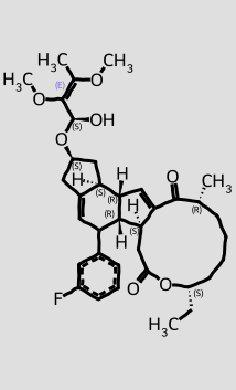 CC[C@H]1CCCC[C@@H](C)C(=O)C2=C[C@@H]3[C@@H](C(c4cccc(F)c4)C=C4C[C@@H](O[C@H](O)/C(OC)=C(/C)OC)C[C@H]43)[C@@H]2CC(=O)O1